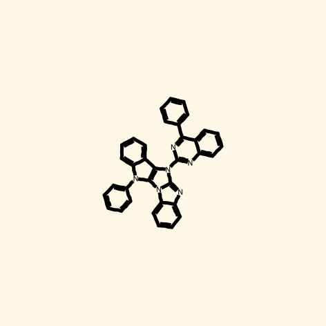 c1ccc(-c2nc(-n3c4c5ccccc5n(-c5ccccc5)c4n4c5ccccc5nc34)nc3ccccc23)cc1